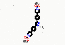 Cn1nc(-c2ccc(C3=CCN(C(=O)OC(C)(C)C)CC3)cc2)cc1-c1ccc(C2=CCN(C(=O)OC(C)(C)C)CC2)cc1